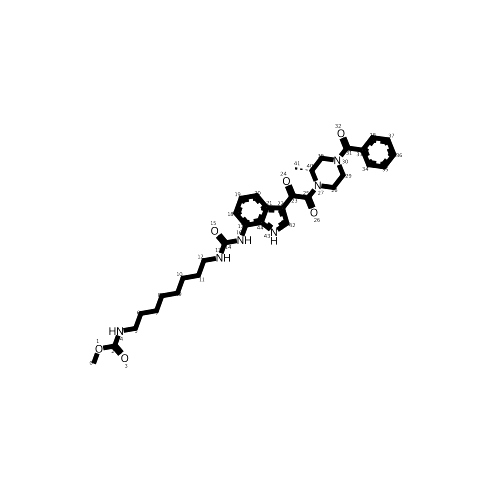 COC(=O)NCCCCCCCCNC(=O)Nc1cccc2c(C(=O)C(=O)N3CCN(C(=O)c4ccccc4)C[C@H]3C)c[nH]c12